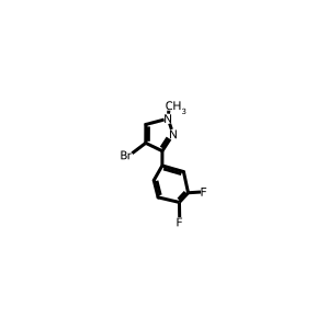 Cn1cc(Br)c(-c2ccc(F)c(F)c2)n1